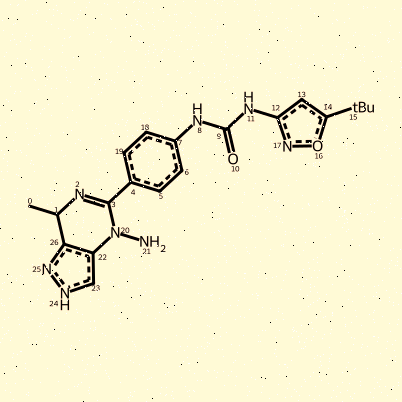 CC1N=C(c2ccc(NC(=O)Nc3cc(C(C)(C)C)on3)cc2)N(N)c2c[nH]nc21